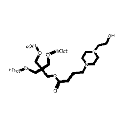 CCCCCCCCOCC(COCCCCCCCC)(COCCCCCCCC)COC(=O)CCCN1CCN(CCO)CC1